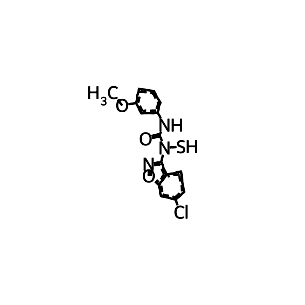 COc1cccc(NC(=O)N(S)c2noc3cc(Cl)ccc23)c1